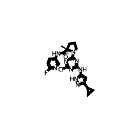 C[C@@]1(C(=O)Nc2ccc(F)nc2)CCCN1c1nc(Cl)nc(Nc2cc(C3CC3)n[nH]2)n1